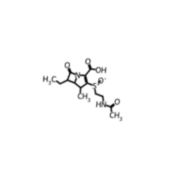 CCC1C(=O)N2C(C(=O)O)=C([S+]([O-])CCNC(C)=O)C(C)C12